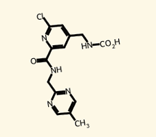 Cc1cnc(CNC(=O)c2cc(CNC(=O)O)cc(Cl)n2)nc1